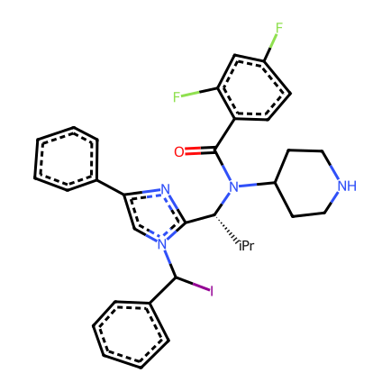 CC(C)[C@H](c1nc(-c2ccccc2)cn1C(I)c1ccccc1)N(C(=O)c1ccc(F)cc1F)C1CCNCC1